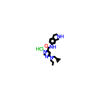 CCCN(CC1CC1)c1cc(C(=O)Nc2ccc3c(c2)CNCC3)ncn1.Cl